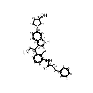 Cc1c(NC(=O)OCc2ccccc2)cccc1C(CN)c1c[nH]c2cc(N3CCC(O)C3)ccc12